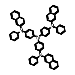 C1=CCC(N(C2=CCC3C=CC=CC3=C2)c2ccc(N(c3ccc(N(c4ccccc4)c4ccc5ccccc5c4)cc3)c3ccc(N(c4ccccc4)c4ccc5ccccc5c4)cc3)cc2)C=C1